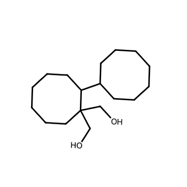 OCC1(CO)CCCCCCC1C1CCCCCCC1